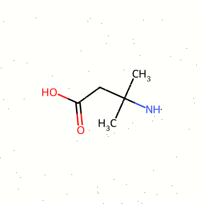 CC(C)([NH])CC(=O)O